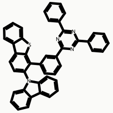 c1ccc(-c2nc(-c3ccccc3)nc(-c3cccc(-c4c(-n5c6ccccc6c6ccccc65)ccc5c4sc4ccccc45)c3)n2)cc1